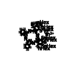 CCCCCCSc1c(SCCCCCC)c(SCCCCCC)c2c(c1SCCCCCC)-c1nc-2nc2[nH]c(nc3nc(nc4[nH]c(n1)c1ccccc41)-c1ccccc1-3)c1c(SCCCCCC)c(SCCCCCC)c(SCCCCCC)c(SCCCCCC)c21.[Cl][In+2]